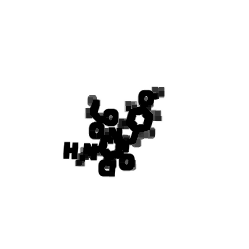 C=CC(=O)Oc1nn(Cc2ccc(OC)cc2)c(=O)c(Cl)c1N